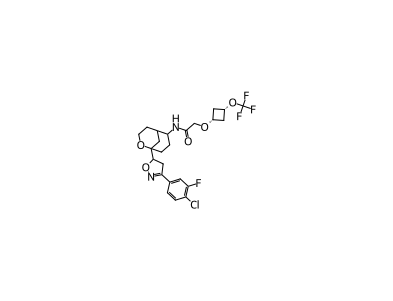 O=C(CO[C@H]1C[C@@H](OC(F)(F)F)C1)NC1CCC2(C3CC(c4ccc(Cl)c(F)c4)=NO3)CC1CCO2